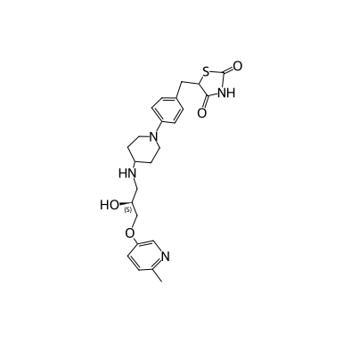 Cc1ccc(OC[C@@H](O)CNC2CCN(c3ccc(CC4SC(=O)NC4=O)cc3)CC2)cn1